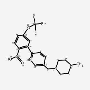 CN1CCN(Cc2ccc(-c3cc(OC(F)(F)F)ccc3S(=O)O)nc2)CC1